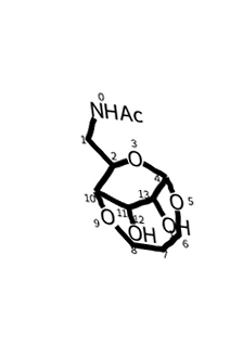 CC(=O)NCC1OC2OCCCOC1C(O)C2O